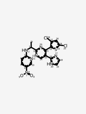 [CH2]C(Nc1ccc([N+](=O)[O-])cn1)c1ncc(-c2ncc[nH]2)c(-c2sc(Cl)cc2Cl)n1